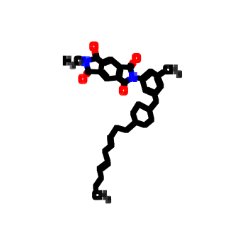 CCC/C=C/C/C=C/CCC1CCC(Cc2cc(C)cc(-n3c(=O)c4cc5c(=O)n(C)c(=O)c5cc4c3=O)c2)CC1